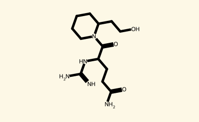 N=C(N)NC(CCC(N)=O)C(=O)N1CCCCC1CCO